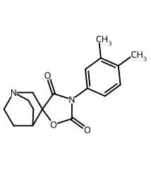 Cc1ccc(N2C(=O)OC3(CN4CCC3CC4)C2=O)cc1C